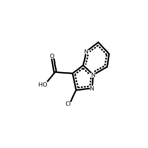 O=C(O)c1c(Cl)nn2cccnc12